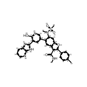 CNC(=O)c1c(-c2ccc(C)cc2)oc2cc(N(C)S(C)(=O)=O)c(-c3cnc(O)c(-c4nc5cccnc5[nH]4)c3)cc12